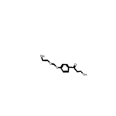 O=C(CCO)c1ccc(OCOCCO)cc1